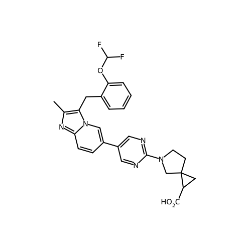 Cc1nc2ccc(-c3cnc(N4CCC5(CC5C(=O)O)C4)nc3)cn2c1Cc1ccccc1OC(F)F